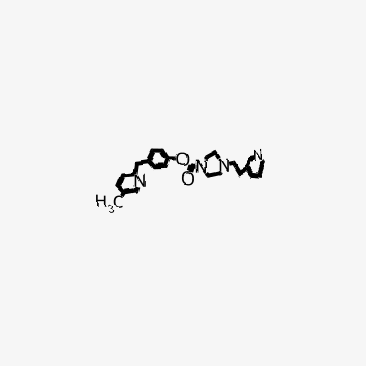 Cc1ccc(Cc2ccc(OC(=O)N3CCN(CCc4cccnc4)CC3)cc2)nc1